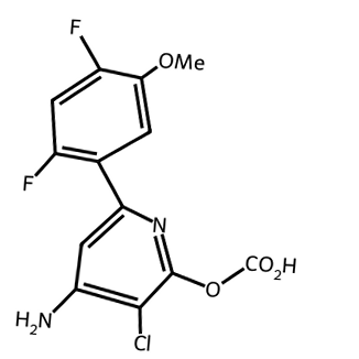 COc1cc(-c2cc(N)c(Cl)c(OC(=O)O)n2)c(F)cc1F